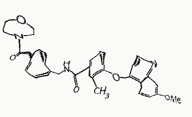 COc1ccc2c(Oc3cccc(C(=O)NCc4ccc(C(=O)N5CCOCC5)cc4)c3C)ccnc2c1